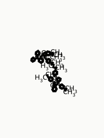 CC(C)c1ccc(N2c3cccc4c3B(c3ccc(C(C)C)cc3N4c3ccc(C(C)CCC(C)(C)c4ccc(N5c6cccc7c6B(c6ccccc6N7c6ccccc6)c6oc7ccc(C(C)(C)C)cc7c65)cc4)cc3)c3oc4ccccc4c32)cc1